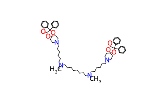 CN(CCCCCCCCN(C)CCCCCCN1CCC2(CC1)OC(=O)C(c1ccccc1)(c1ccccc1)O2)CCCCCCN1CCC2(CC1)OC(=O)C(c1ccccc1)(c1ccccc1)O2